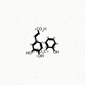 O=C(O)/C=C/c1ccc(O)c(O)c1.O=C(O)c1ccccc1O